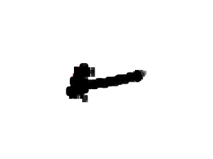 CC(C)[C@H](NC(=O)CCOCCOCCOCCOCCOCCOCCOCCOCCOCCN=[N+]=[N-])C(=O)N[C@@H](CCCNC(N)=O)C(=O)Nc1ccc(Cn2ccc(C(=O)O)c2)cc1